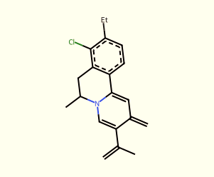 C=C(C)C1=CN2C(=CC1=C)c1ccc(CC)c(Cl)c1CC2C